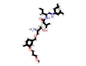 CC[C@H](C)[C@@H](CNc1cc(C)cc(C)c1)NC(=O)[C@@H](C[C@H](O)[C@@H](N)COCc1ccc(C)c(OCCCOC)c1)C(C)C